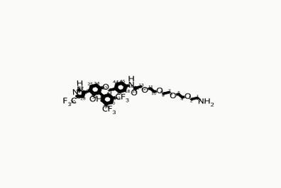 NCCOCCOCCOCCOCC(=O)Nc1ccc(COc2ccc(-c3cc(C(F)(F)F)n[nH]3)c(O)c2-c2cc(C(F)(F)F)cc(C(F)(F)F)c2)cc1